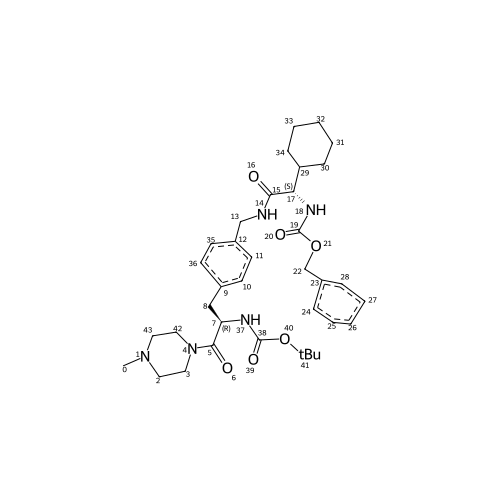 CN1CCN(C(=O)[C@@H](Cc2ccc(CNC(=O)[C@@H](NC(=O)OCc3ccccc3)C3CCCCC3)cc2)NC(=O)OC(C)(C)C)CC1